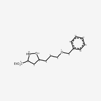 CCOC(=O)C1CC(CCCOCc2ccccc2)ON1